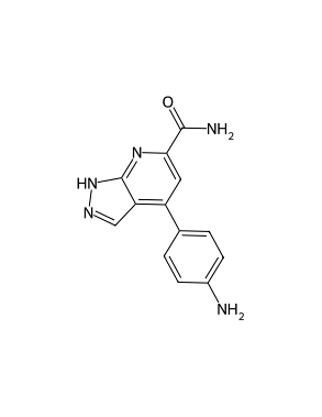 NC(=O)c1cc(-c2ccc(N)cc2)c2cn[nH]c2n1